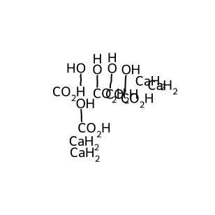 O=C(O)O.O=C(O)O.O=C(O)O.O=C(O)O.O=C(O)O.[CaH2].[CaH2].[CaH2].[CaH2]